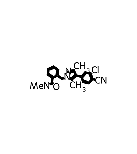 CNC(=O)c1ccccc1Cn1nc(C)c(-c2ccc(C#N)c(Cl)c2)c1C